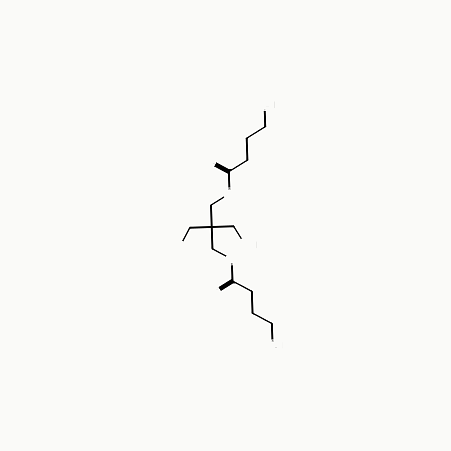 O=C(CCCS)OCC(CO)(CO)COC(=O)CCCS